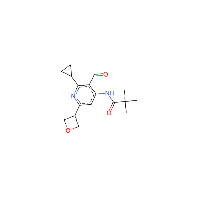 CC(C)(C)C(=O)Nc1cc(C2COC2)nc(C2CC2)c1C=O